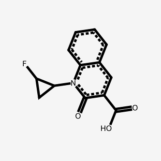 O=C(O)c1cc2ccccc2n(C2CC2F)c1=O